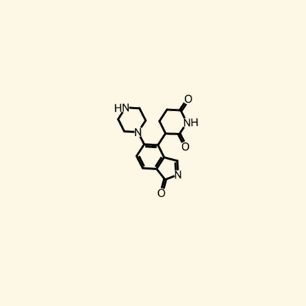 O=C1CCC(c2c(N3CCNCC3)ccc3c2C=NC3=O)C(=O)N1